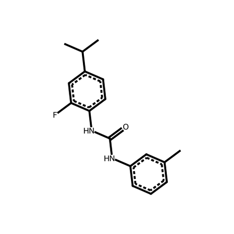 Cc1cccc(NC(=O)Nc2ccc(C(C)C)cc2F)c1